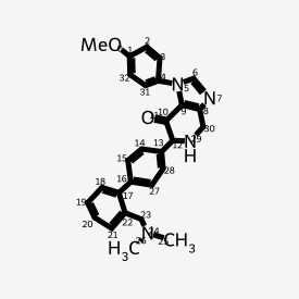 COc1ccc(-n2cnc3c2C(=O)C(c2ccc(-c4ccccc4CN(C)C)cc2)NC3)cc1